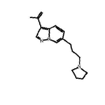 C=C(C)c1cnn2cc(CCCN3CCCC3)ccc12